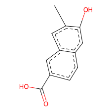 Cc1cc2cc(C(=O)O)ccc2cc1O